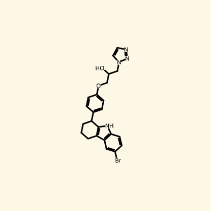 OC(COc1ccc(C2CCCc3c2[nH]c2ccc(Br)cc32)cc1)Cn1ccnn1